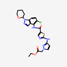 CCOC(=O)Cn1ccc(Nc2ncc(C(=O)Nc3c(Br)ccc4c3cnn4C3CCCCO3)s2)n1